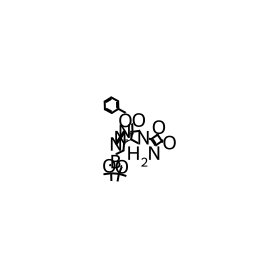 CC1(C)OB(CCC[C@@H]2CN(c3c(N)c(=O)c3=O)C[C@]2(N=[N+]=[N-])C(=O)OCc2ccccc2)OC1(C)C